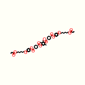 C=CC(=O)OCCCCCCOc1ccc(OC(=O)[C@H]2CC[C@H](C(=O)Oc3cc(C)c(OC(=O)[C@H]4CC[C@H](C(=O)Oc5ccc(OCCCCCCOC(=O)C=C)cc5)CC4)c(C)c3C)CC2)cc1